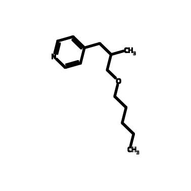 CCCCCOCC(C)Cc1ccncc1